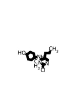 CCCc1cnc(Cl)nc1NC1(C)CCC(O)CC1